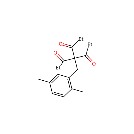 CCC(=O)C(Cc1cc(C)ccc1C)(C(=O)CC)C(=O)CC